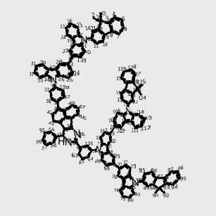 CC1(C)c2ccccc2-c2ccc(-n3c4ccccc4c4cc(-c5ccc6c(c5)c5ccccc5n6-c5ccc(-c6ccc7c8c(cccc68)C6=C7C(c7ccccc7)NC(c7cccc(-n8c9ccc(-c%10ccc%11c(c%10)c%10ccccc%10n%11-c%10ccc%11c(c%10)C(C)(C)c%10ccccc%10-%11)cc9c9cc(-c%10ccc%11c(c%10)c%10ccccc%10n%11-c%10ccc%11c(c%10)C(C)(C)c%10ccccc%10-%11)ccc98)c7)=N6)cc5)ccc43)cc21